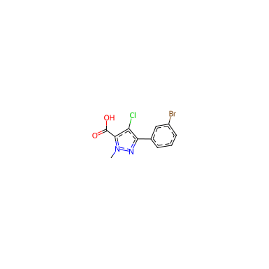 Cn1nc(-c2cccc(Br)c2)c(Cl)c1C(=O)O